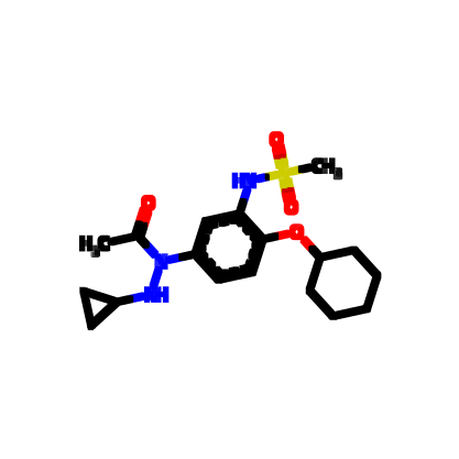 CC(=O)N(NC1CC1)c1ccc(OC2CCCCC2)c(NS(C)(=O)=O)c1